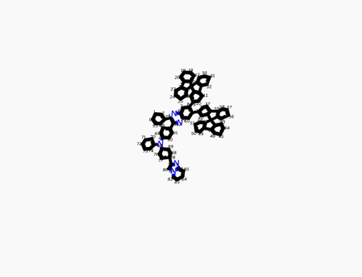 c1ccc(-c2nc3cc(-c4ccc5c(c4)C4(c6ccccc6-c6ccccc64)c4ccccc4-5)c(-c4ccc5c(c4)C4(c6ccccc6-c6ccccc64)c4ccccc4-5)cc3nc2-c2ccc(N(c3ccccc3)c3ccc(-c4cn5ccccc5n4)cc3)cc2)cc1